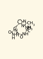 Cc1nc2cccc3c2nc1N[C@H](C)CNC(=O)C[C@@H]1CNC(=O)c2cc-3cn21